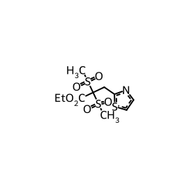 CCOC(=O)C(Cc1nccs1)(S(C)(=O)=O)S(C)(=O)=O